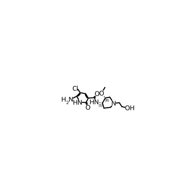 CO[C@@H]1CN(CCO)CC[C@@H]1NC(=O)c1cc(Cl)c(N)[nH]c1=O